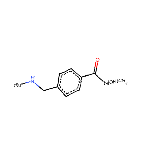 CN(O)C(=O)c1ccc(CNC(C)(C)C)cc1